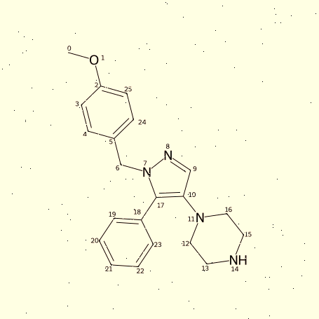 COc1ccc(Cn2ncc(N3CCNCC3)c2-c2ccccc2)cc1